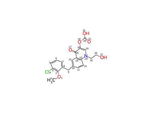 COc1c(Cl)cccc1Cc1ccc2c(c1)c(=O)c(OC(=O)O)cn2CCO